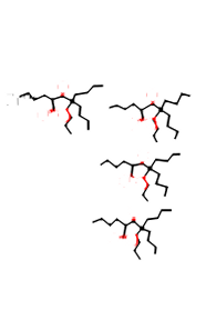 CCCCC(C(=O)[O-])C(=O)C(CCCC)(CCCC)CCCC.CCCCC(C(=O)[O-])C(=O)C(CCCC)(CCCC)CCCC.CCCCC(C(=O)[O-])C(=O)C(CCCC)(CCCC)CCCC.CCCCC(C(=O)[O-])C(=O)C(CCCC)(CCCC)CCCC.[Zr+4]